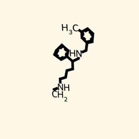 C=CNCCCCC(CNCc1cccc(C)c1)c1ccccc1